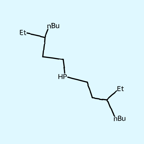 CCCCC(CC)CCPCCC(CC)CCCC